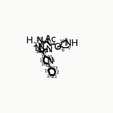 CC(=O)c1c(COC2CCNCC2)nc2c(-c3ccc(-c4ccccc4)nc3)cnn2c1N